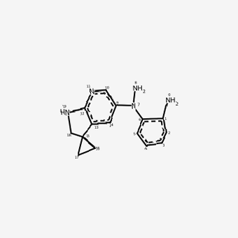 Nc1ccccc1N(N)c1cnc2c(c1)C1(CC1)CN2